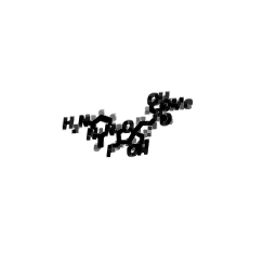 C=C1N=C(N)C=CN1[C@@H]1O[C@](CCl)(CCP(=O)(CO)OC)[C@@H](O)[C@H]1F